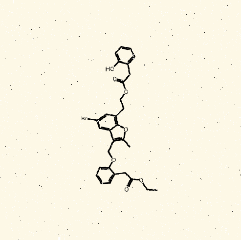 CCOC(=O)Cc1ccccc1OCc1c(C)oc2c(CCOC(=O)Cc3ccccc3O)cc(Br)cc12